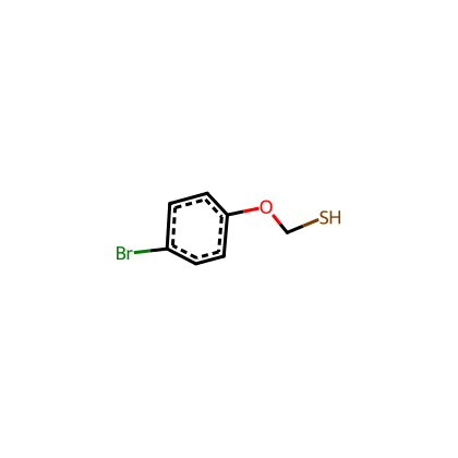 SCOc1ccc(Br)cc1